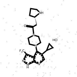 Cl.O=C(C[C@@H]1CCCN1)N1CCN(c2c(C3CC3)cnc3[nH]nc(C(F)(F)F)c23)CC1